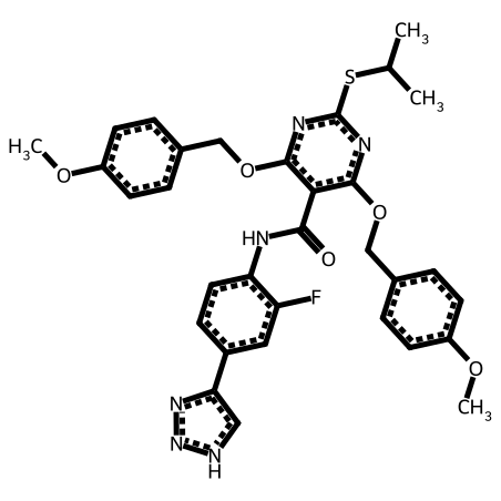 COc1ccc(COc2nc(SC(C)C)nc(OCc3ccc(OC)cc3)c2C(=O)Nc2ccc(-c3c[nH]nn3)cc2F)cc1